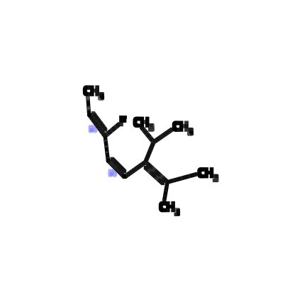 C/C=C(F)/C=C\C(=C(C)C)C(C)C